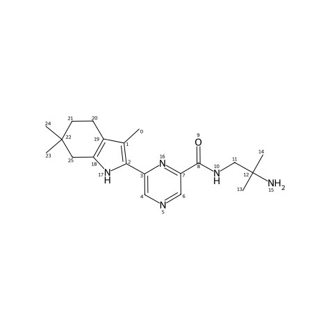 Cc1c(-c2cncc(C(=O)NCC(C)(C)N)n2)[nH]c2c1CCC(C)(C)C2